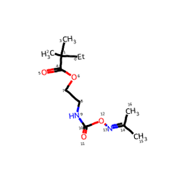 CCC(C)(C)C(=O)OCCNC(=O)ON=C(C)C